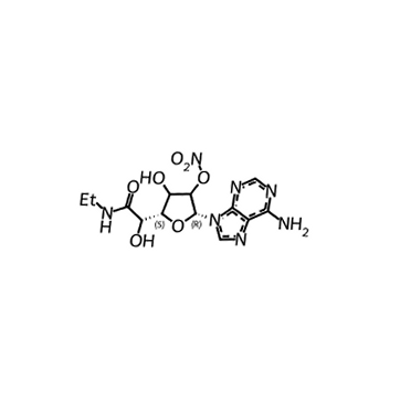 CCNC(=O)C(O)[C@H]1O[C@@H](n2cnc3c(N)ncnc32)C(O[N+](=O)[O-])C1O